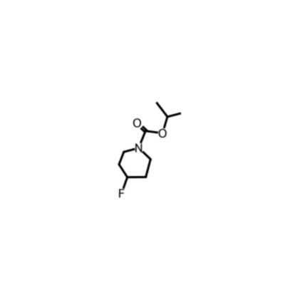 CC(C)OC(=O)N1CCC(F)CC1